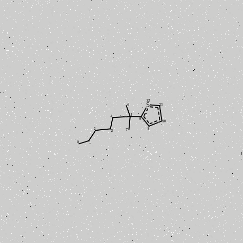 CCCCCC(C)(C)c1cccs1